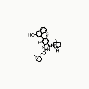 CN1CCC[C@H]1COc1nc(N2C[C@H]3CC[C@@](C)(C2)N3)c2cc(F)c(-c3cc(O)cc4cccc(Cl)c34)c(F)c2n1